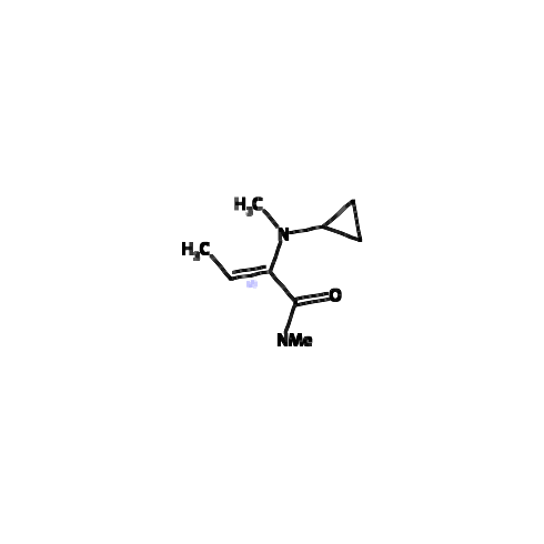 C/C=C(/C(=O)NC)N(C)C1CC1